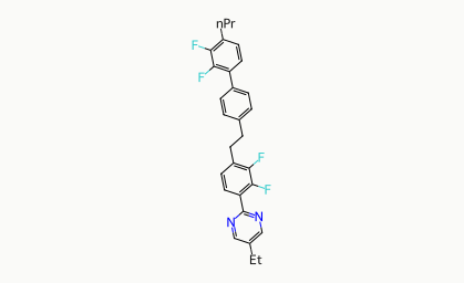 CCCc1ccc(-c2ccc(CCc3ccc(-c4ncc(CC)cn4)c(F)c3F)cc2)c(F)c1F